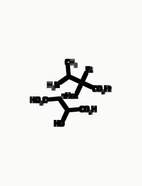 CCCCCCC(CC)(C(=O)OCC)C(C)N.O=C(O)CC(O)C(=O)O